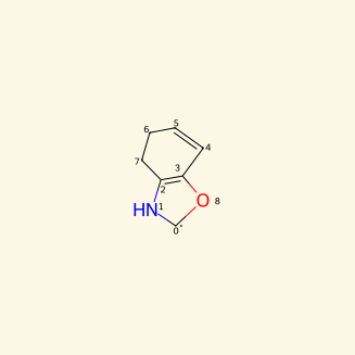 [CH]1NC2=C(C=CCC2)O1